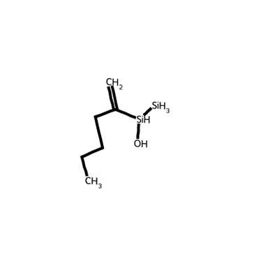 C=C(CCCC)[SiH](O)[SiH3]